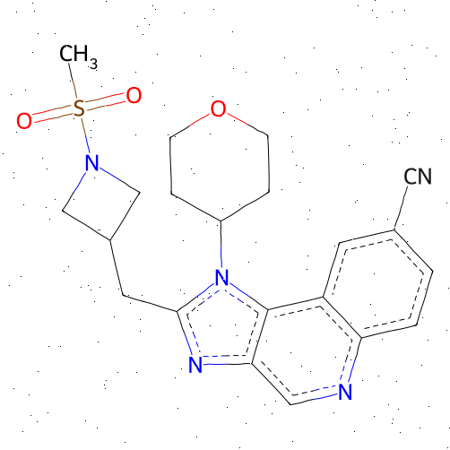 CS(=O)(=O)N1CC(Cc2nc3cnc4ccc(C#N)cc4c3n2C2CCOCC2)C1